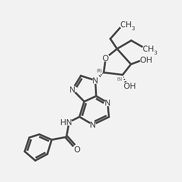 CCC1(CC)O[C@@H](n2cnc3c(NC(=O)c4ccccc4)ncnc32)[C@@H](O)C1O